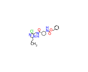 C=CCc1cnc(Cl)c(CNC(=O)[C@@H]2CCC[C@@H](NC(=O)OCc3ccccc3)C2)n1